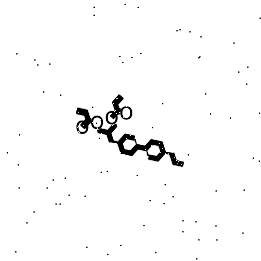 C=CC(=O)OCC(COC(=O)C=C)C[C@H]1CC[C@H]([C@H]2CC[C@H](CCC)CC2)CC1